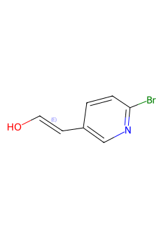 O/C=C/c1ccc(Br)nc1